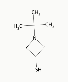 CC(C)(C)N1CC(S)C1